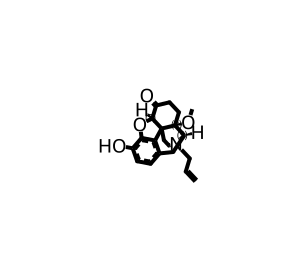 C=CCN1CCC23c4c5ccc(O)c4O[C@@H]2C(=O)CC[C@]3(OC)[C@@H]1C5